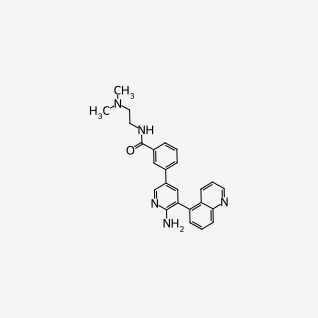 CN(C)CCNC(=O)c1cccc(-c2cnc(N)c(-c3cccc4ncccc34)c2)c1